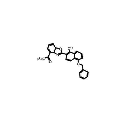 COC(=O)C1=CC=CC2OC(c3ccc4c(OCc5ccccc5)cccc4c3O)=NC12